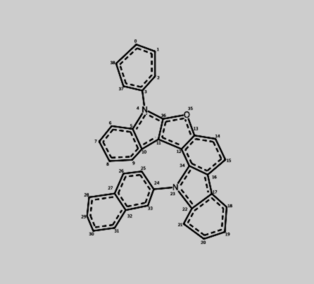 c1ccc(-n2c3ccccc3c3c4c(ccc5c6ccccc6n(-c6ccc7ccccc7c6)c54)oc32)cc1